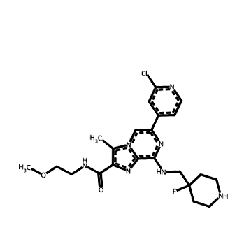 COCCNC(=O)c1nc2c(NCC3(F)CCNCC3)nc(-c3ccnc(Cl)c3)cn2c1C